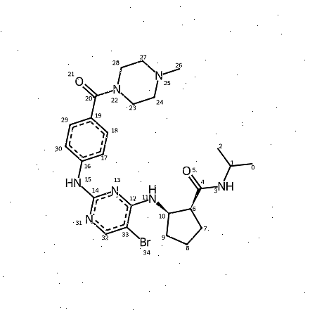 CC(C)NC(=O)[C@H]1CCC[C@H]1Nc1nc(Nc2ccc(C(=O)N3CCN(C)CC3)cc2)ncc1Br